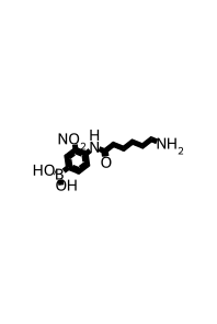 NCCCCCC(=O)Nc1ccc(B(O)O)cc1[N+](=O)[O-]